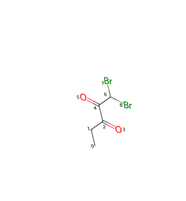 CCC(=O)C(=O)C(Br)Br